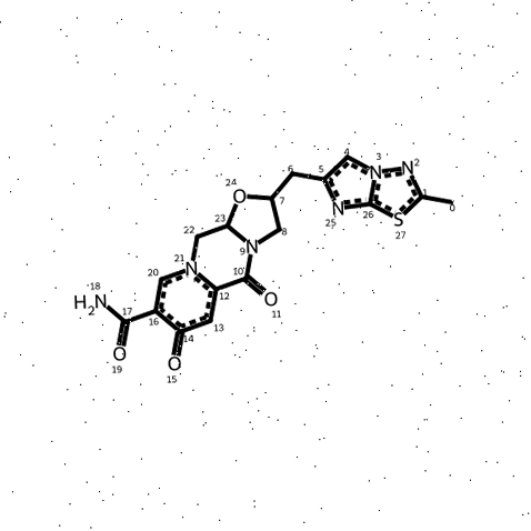 Cc1nn2cc(CC3CN4C(=O)c5cc(=O)c(C(N)=O)cn5CC4O3)nc2s1